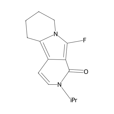 CC(C)n1ccc2c3n(c(F)c2c1=O)CCCC3